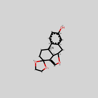 N#CC12CCC3(OCCO3)C3=COC(Cc4cc(O)ccc41)C32